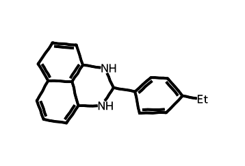 CCc1ccc(C2Nc3cccc4cccc(c34)N2)cc1